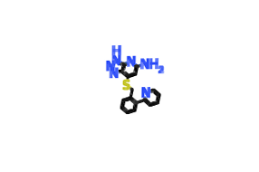 Nc1cc(SCc2ccccc2-c2ccccn2)c2nn[nH]c2n1